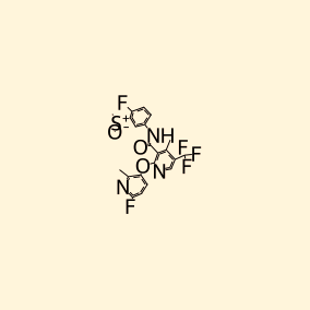 Cc1nc(F)ccc1Oc1ncc(C(F)(F)F)c(C)c1C(=O)Nc1ccc(F)c([S+](C)[O-])c1